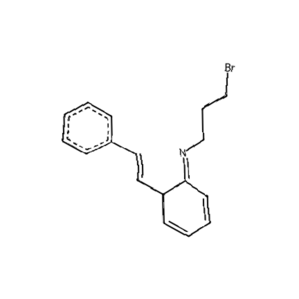 BrCCCN=C1C=CC=CC1C=Cc1ccccc1